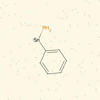 [PH2][Sn][c]1ccccc1